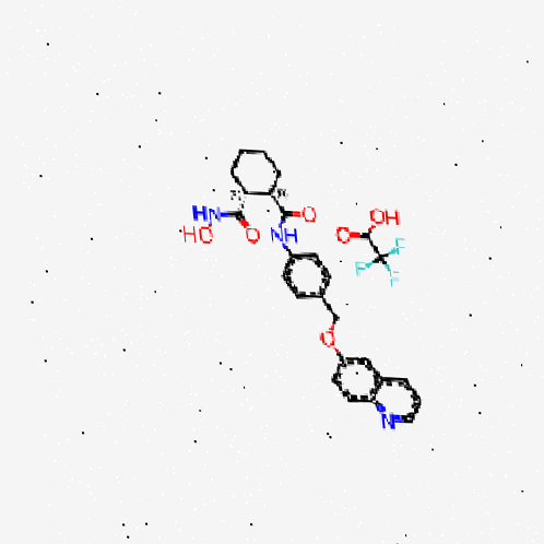 O=C(NO)[C@@H]1CCCC[C@H]1C(=O)Nc1ccc(COc2ccc3ncccc3c2)cc1.O=C(O)C(F)(F)F